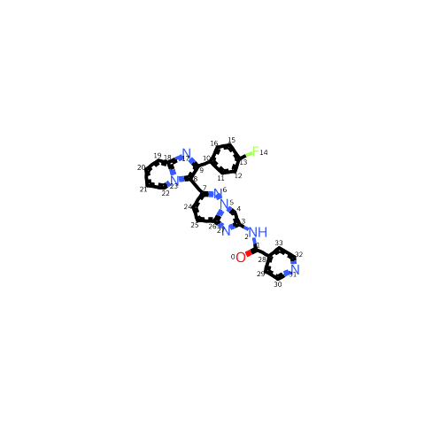 O=C(Nc1cn2nc(-c3c(-c4ccc(F)cc4)nc4ccccn34)ccc2n1)c1ccncc1